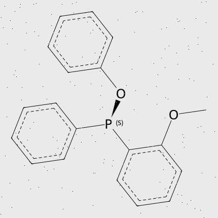 COc1ccccc1[P@](Oc1ccccc1)c1ccccc1